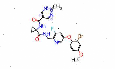 C=C/N=C\C(=C/N)C(=O)NC1(C(=O)NCc2ncc(Oc3ccc(OC)cc3Br)cc2F)CC1